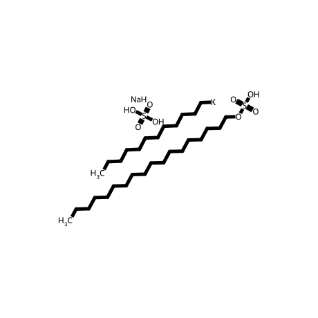 CCCCCCCCCCCCCCCCCCOS(=O)(=O)O.CCCCCCCCCCC[CH2][K].O=S(=O)(O)O.[NaH]